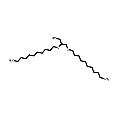 CCCCCCCCCCCOCC(CO)OCCCCCCCCCCC